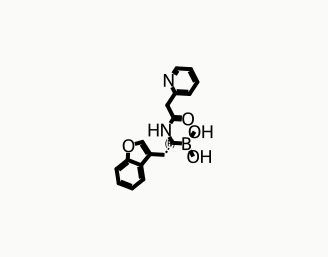 O=C(Cc1ccccn1)N[C@@H](Cc1coc2ccccc12)B(O)O